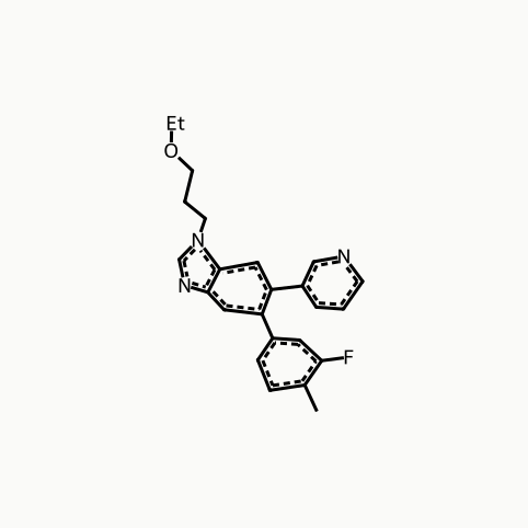 CCOCCCn1cnc2cc(-c3ccc(C)c(F)c3)c(-c3cccnc3)cc21